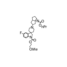 CCCOC(=O)N1C2CCC3CC(N4CCC5(CC4)CN(C(=O)OCCOC)c4ccc(F)cc45)CC321